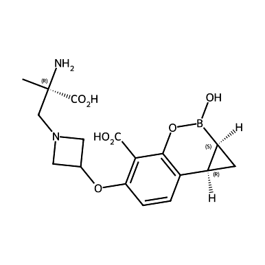 C[C@@](N)(CN1CC(Oc2ccc3c(c2C(=O)O)OB(O)[C@H]2C[C@@H]32)C1)C(=O)O